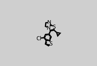 Clc1cc(C2=C(C3CC3)SC3=NCCN32)cc2sccc12